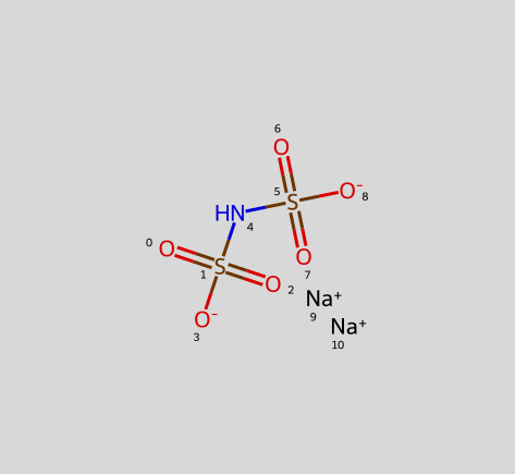 O=S(=O)([O-])NS(=O)(=O)[O-].[Na+].[Na+]